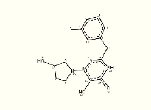 Cc1cccc(Cc2nc(N3CCC(O)C3)c(C#N)c(=O)[nH]2)c1